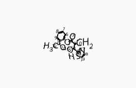 C=C(C(=O)Oc1ccccc1C(C)=O)C(O)c1nccs1